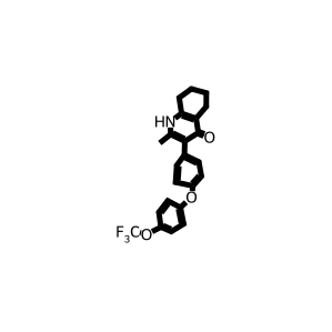 Cc1[nH]c2c(c(=O)c1-c1ccc(Oc3ccc(OC(F)(F)F)cc3)cc1)CCCC2